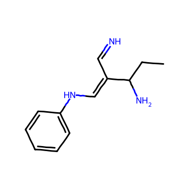 CCC(N)/C(C=N)=C/Nc1ccccc1